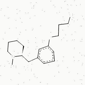 CCCCOc1cccc([C@H](O)[C@@H]2CCCCN2C)c1